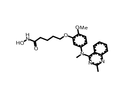 COc1ccc(N(C)c2nc(C)nc3ccccc23)cc1OCCCCC(=O)NO